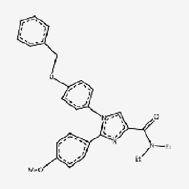 CCN(CC)C(=O)c1cn(-c2ccc(OCc3ccccc3)cc2)c(-c2ccc(OC)cc2)n1